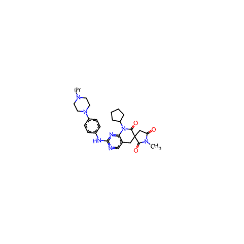 CC(C)N1CCN(c2ccc(Nc3ncc4c(n3)N(C3CCCC3)C(=O)C3(CC(=O)N(C)C3=O)C4)cc2)CC1